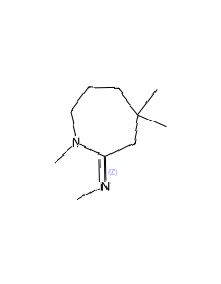 C/N=C1/CC(C)(C)CCCN1C